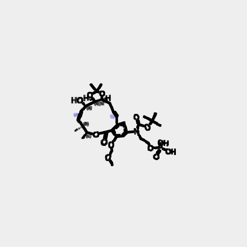 COCOc1cc(N(CCOP(=O)(O)O)C(=O)OC(C)(C)C)cc2c1C(=O)O[C@@H](C)[C@H](C)/C=C\[C@@H](O)[C@H]1OC(C)(C)O[C@H]1C/C=C/2